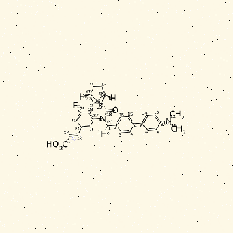 [2H][C@H](c1ccc(-c2ccc(N(C)C)cc2)cc1)N(C(=O)[C@@H]1C[C@@H]2CC[C@H]1C2)c1cc(F)cc(/C=C/C(=O)O)c1